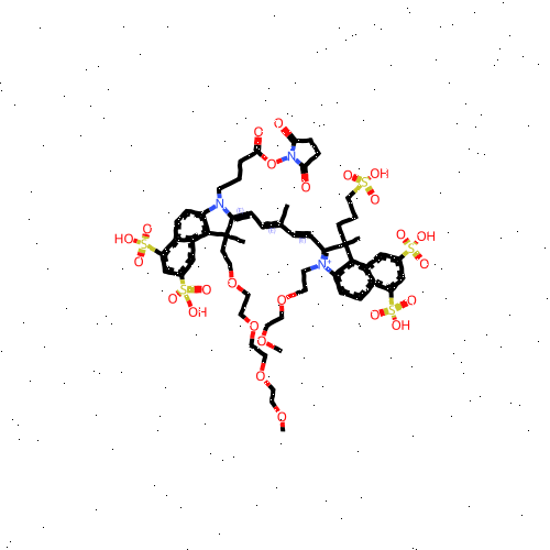 COCCOCCOCCOCCC1(C)\C(=C/C=C(C)/C=C/C2=[N+](CCOCCOC)c3ccc4c(S(=O)(=O)O)cc(S(=O)(=O)O)cc4c3C2(C)CCCS(=O)(=O)O)N(CCCC(=O)ON2C(=O)CCC2=O)c2ccc3c(S(=O)(=O)O)cc(S(=O)(=O)O)cc3c21